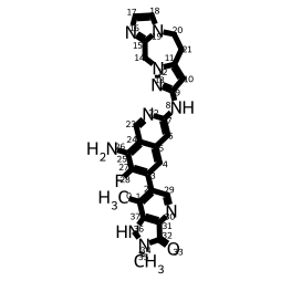 Cc1c(-c2cc3cc(Nc4cc5n(n4)Cc4nccn4CC5)ncc3c(N)c2F)cnc2c(=O)n(C)[nH]c12